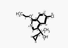 CCOc1ncc([C@@](C)(O)C2CC2)c2cc(Cl)ncc12